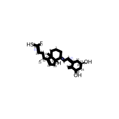 C=C1/C(=C\C=C2/CCCC3(C)C([C@H](C)C/C=C(\F)S)=CC[C@@H]23)C[C@@H](O)CC1O